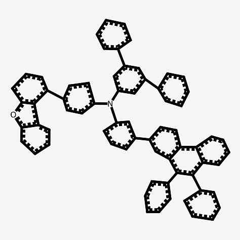 c1ccc(-c2cc(-c3ccccc3)cc(N(c3ccc(-c4cccc5oc6ccccc6c45)cc3)c3cccc(-c4ccc5c(c4)c(-c4ccccc4)c(-c4ccccc4)c4ccccc45)c3)c2)cc1